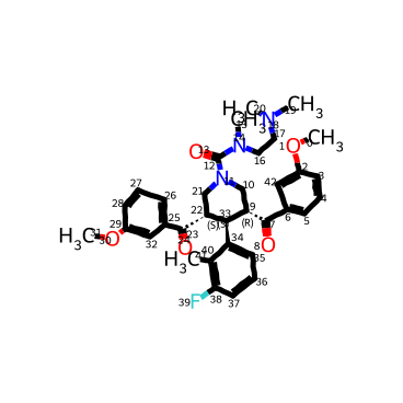 COc1cccc(C(=O)[C@H]2CN(C(=O)N(C)CCN(C)C)C[C@@H](C(=O)c3cccc(OC)c3)[C@@H]2c2cccc(F)c2C)c1